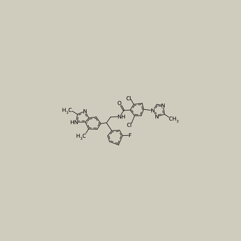 Cc1ncn(-c2cc(Cl)c(C(=O)NCC(c3cccc(F)c3)c3cc(C)c4[nH]c(C)nc4c3)c(Cl)c2)n1